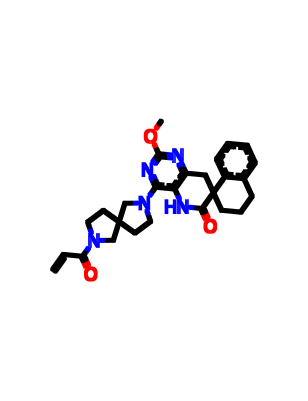 C=CC(=O)N1CCC2(CCN(c3nc(OC)nc4c3NC(=O)C3(CCCc5ccccc53)C4)C2)C1